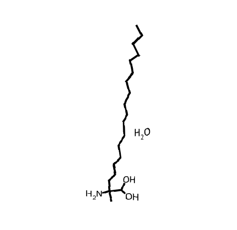 CCCCCCCCCCCCCCCCCC(C)(N)C(O)O.O